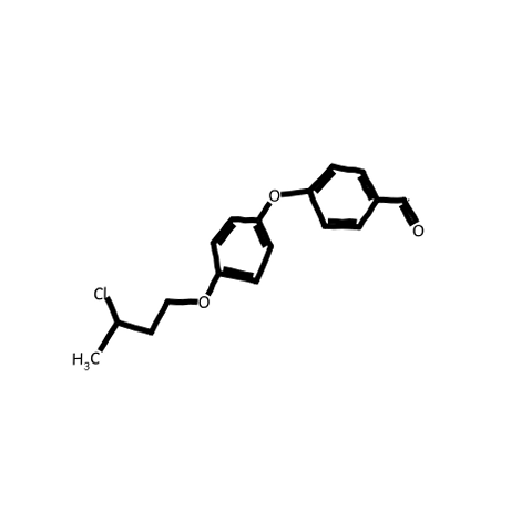 CC(Cl)CCOc1ccc(Oc2ccc([C]=O)cc2)cc1